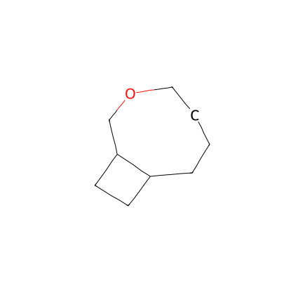 C1CCC2CCC2COC1